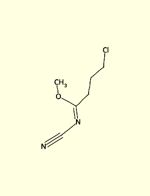 CO/C(CCCCl)=N\C#N